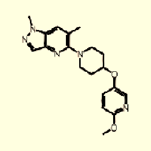 COc1ccc(OC2CCN(c3nc4cnn(C)c4cc3C)CC2)cn1